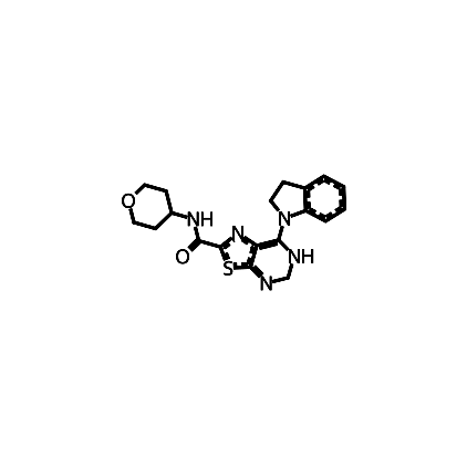 O=C(NC1CCOCC1)c1nc2c(s1)=NCNC=2N1CCc2ccccc21